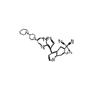 N#CC(C#N)(C#N)c1cc2c(-c3cnn4cc(N5CCC(N6CCCCC6)CC5)cnc34)ccnc2cc1F